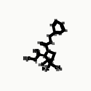 COC(=N)[C@@H]1[C@@H]2C(CN1C(=O)OCc1ccccc1)C2(C)C